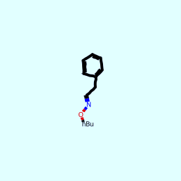 CCCCON=CCc1[c]cccc1